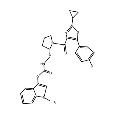 Cn1cc(OC(=O)NC[C@@H]2CCCN2C(=O)c2nc(C3CC3)sc2-c2ccc(F)cc2)c2ccccc21